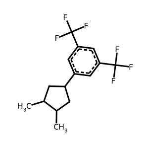 CC1CC(c2cc(C(F)(F)F)cc(C(F)(F)F)c2)CC1C